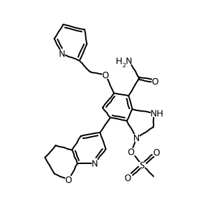 CS(=O)(=O)ON1CNc2c(C(N)=O)c(OCc3ccccn3)cc(-c3cnc4c(c3)CCCO4)c21